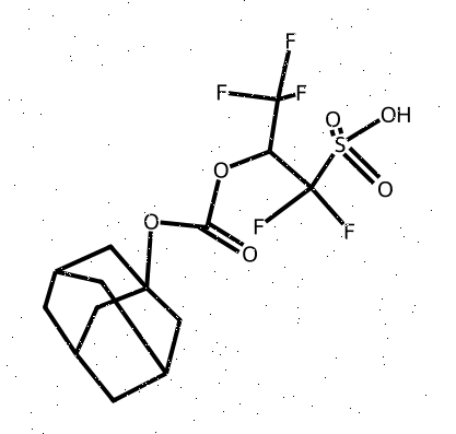 O=C(OC(C(F)(F)F)C(F)(F)S(=O)(=O)O)OC12CC3CC(CC(C3)C1)C2